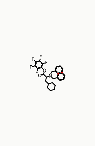 O=C(Oc1c(F)c(F)c(F)c(F)c1F)C(CC1CCCCC1)N(Cc1ccccc1)Cc1ccccc1